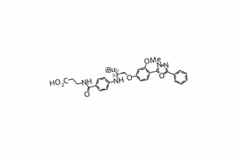 CC[C@H](C)[C@@H](COc1ccc(-c2nnc(-c3ccccc3)o2)c(OC)c1)Nc1ccc(C(=O)NCCC(=O)O)cc1